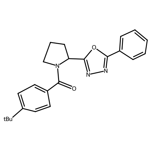 CC(C)(C)c1ccc(C(=O)N2CCCC2c2nnc(-c3ccccc3)o2)cc1